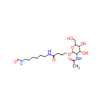 CC(=O)NC1C(OCCCC(=O)NCCCCCCNC=O)OC(CO)C(O)C1O